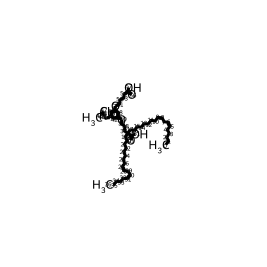 CCCCC/C=C\C/C=C\CCCCCCCCC(CCCCCCCC/C=C\C/C=C\CCCCC)(CCCOc1cc(CN(C)C)cc(OCCCCC(=O)O)c1)C(=O)O